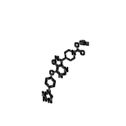 CC(C)(C)OC(=O)N1CCC(c2noc3c(Oc4ccc(-n5cnnn5)cc4)ncnc23)CC1